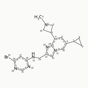 CN1CC(c2cc(C3CC3)cn3cc(CNc4cc(Br)ncn4)nc23)C1